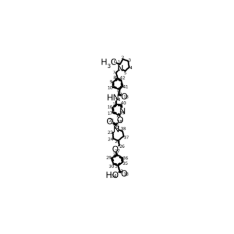 CC1CCCCN1Cc1ccc(C(=O)Nc2ccc(OC(=O)N3CCC(COc4ccc(C(=O)O)cc4)CC3)nc2)cc1